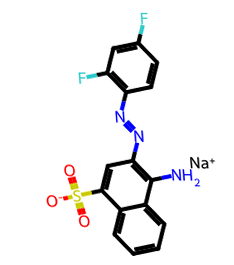 Nc1c(N=Nc2ccc(F)cc2F)cc(S(=O)(=O)[O-])c2ccccc12.[Na+]